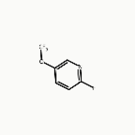 Fc1ccc(OC(F)(F)F)cn1